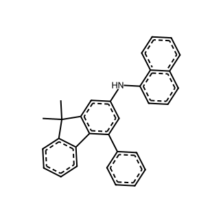 CC1(C)c2ccccc2-c2c(-c3ccccc3)cc(Nc3cccc4ccccc34)cc21